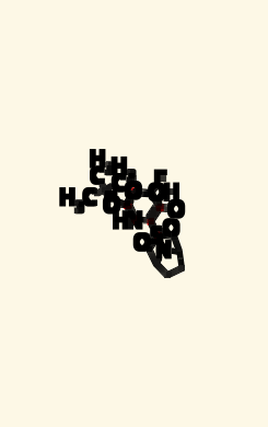 CC(C)(C)OC(=O)N[C@H](C(=O)O)C1CC2CCC(C1)N2S(=O)(=O)c1cc(F)cc(F)c1